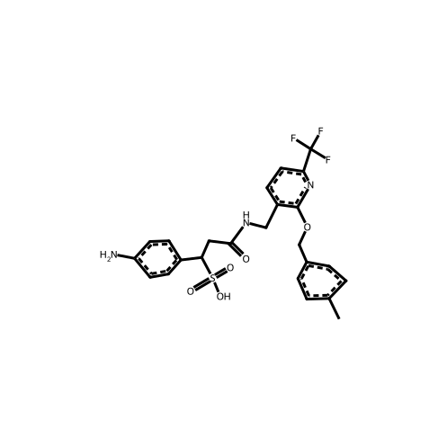 Cc1ccc(COc2nc(C(F)(F)F)ccc2CNC(=O)CC(c2ccc(N)cc2)S(=O)(=O)O)cc1